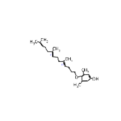 CC(C)=CCC/C(C)=C/CC/C(C)=C/CCCOc1c(C)cc(O)cc1C